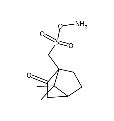 CC1(C)C2CCC1(CS(=O)(=O)ON)C(=O)C2